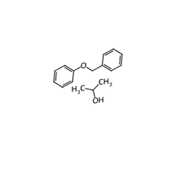 CC(C)O.c1ccc(COc2ccccc2)cc1